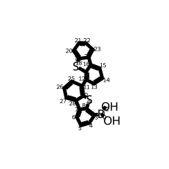 OB(O)c1cccc2c1sc1c(-c3cccc4c3sc3ccccc34)cccc12